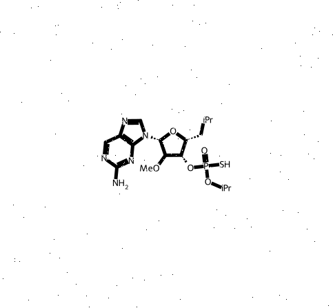 COC1[C@@H](OP(=O)(S)OC(C)C)[C@@H](CC(C)C)O[C@H]1n1cnc2cnc(N)nc21